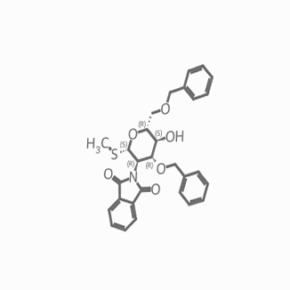 CS[C@@H]1O[C@H](COCc2ccccc2)[C@@H](O)[C@H](OCc2ccccc2)[C@H]1N1C(=O)c2ccccc2C1=O